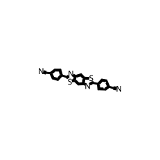 N#Cc1ccc(-c2nc3cc4sc(-c5ccc(C#N)cc5)nc4cc3s2)cc1